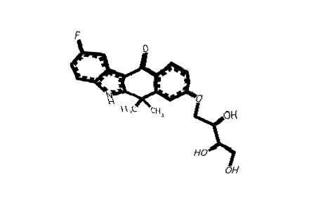 CC1(C)c2cc(OCC(O)C(O)CO)ccc2C(=O)c2c1[nH]c1ccc(F)cc21